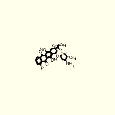 COc1cccc2c1C(=O)c1c(O)c3c(c(O)c1C2=O)C[C@@](O)(C(=O)CO)C[C@@H]3O[C@H]1C[C@H](N)[C@@H](O)[C@@H](C)O1